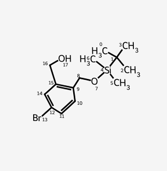 CC(C)(C)[Si](C)(C)OCc1ccc(Br)cc1CO